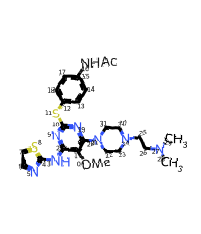 COc1c(Nc2nccs2)nc(Sc2ccc(NC(C)=O)cc2)nc1N1CCN(CCN(C)C)CC1